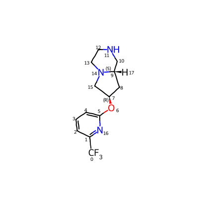 FC(F)(F)c1cccc(O[C@@H]2C[C@H]3CNCCN3C2)n1